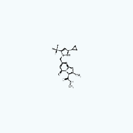 CNC(=O)c1c(C)sc2nc(CN3NC(C4CC4)C=C3C(F)(F)F)cc(=O)n12